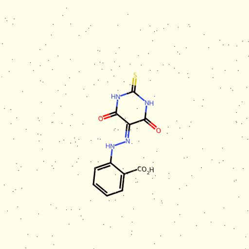 O=C1NC(=S)NC(=O)C1=NNc1ccccc1C(=O)O